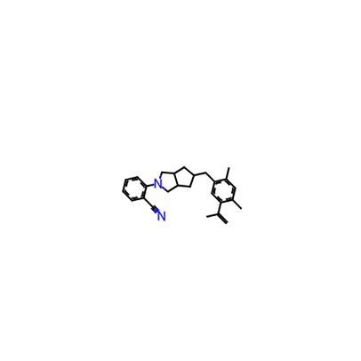 C=C(C)c1cc(CC2CC3CN(c4ccccc4C#N)CC3C2)c(C)cc1C